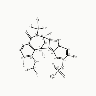 [2H]C([2H])([2H])N1C(=O)c2ccc(F)c(OC(F)F)c2[C@H]2C[C@@H]1c1nn3cc(F)c(OS(=O)(=O)C(F)(F)F)nc3c12